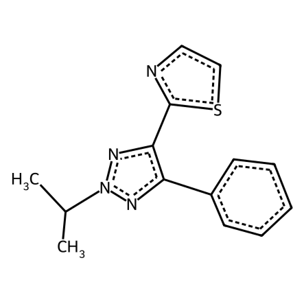 CC(C)n1nc(-c2ccccc2)c(-c2nccs2)n1